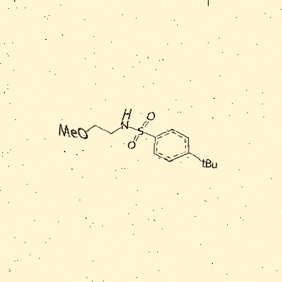 COCCNS(=O)(=O)c1ccc(C(C)(C)C)cc1